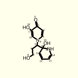 O=c1ccn(C(CCO)C2(O)C=CC=CN2)cc1O